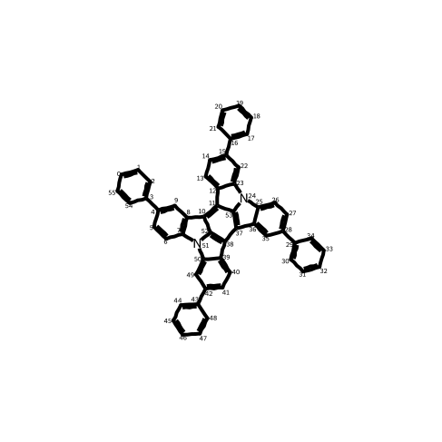 c1ccc(-c2ccc3c(c2)c2c4c5ccc(-c6ccccc6)cc5n5c6ccc(-c7ccccc7)cc6c(c6c7ccc(-c8ccccc8)cc7n3c26)c45)cc1